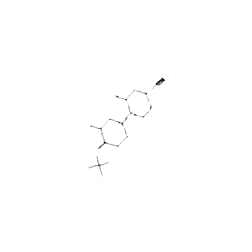 CC1CC(C2CCC(C#N)CC2Cl)CCC1OC(F)(F)F